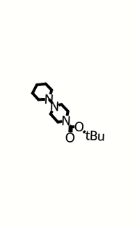 CC(C)(C)OC(=O)N1CCN(N2CCCCC2)CC1